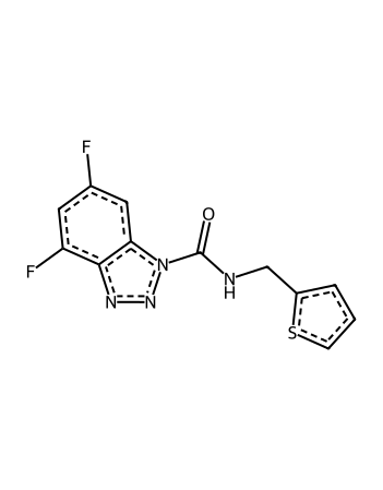 O=C(NCc1cccs1)n1nnc2c(F)cc(F)cc21